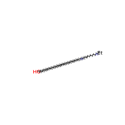 CC/C=C/CCCCCCCCC/C=C/CCCCCCCCCCCCCCCCCCCCCCCCCCCCCCO